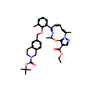 CCOC(=O)c1cnn2c1OC(C)/N=C(c1cccc(C)c1OCc1ccc3c(c1)CCN(C(=O)OC(C)(C)C)C3)/C=C\C=C\2C